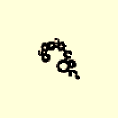 C=C/C=C\C(=C)c1ccccccc(/C(C)=C/C(=C\C)c2ccc3oc4cc5ccc6oc7ccccc7c6c5cc4c3c2)c2ccccc12